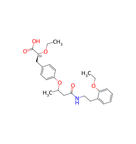 CCOc1ccccc1CCNC(=O)CC(C)Oc1ccc(C[C@H](OCC)C(=O)O)cc1